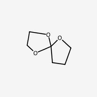 C1COC2(C1)OCCO2